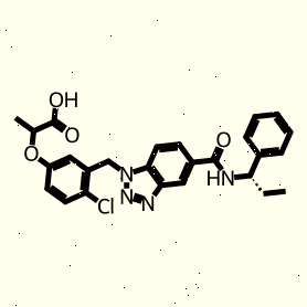 CC[C@H](NC(=O)c1ccc2c(c1)nnn2Cc1cc(OC(C)C(=O)O)ccc1Cl)c1ccccc1